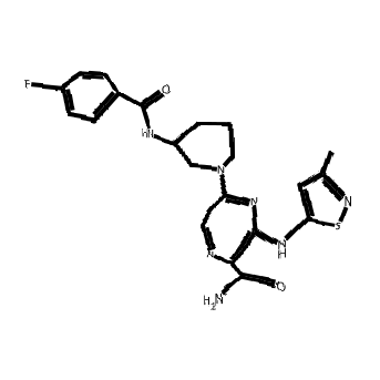 Cc1cc(Nc2nc(N3CCCC(NC(=O)c4ccc(F)cc4)C3)cnc2C(N)=O)sn1